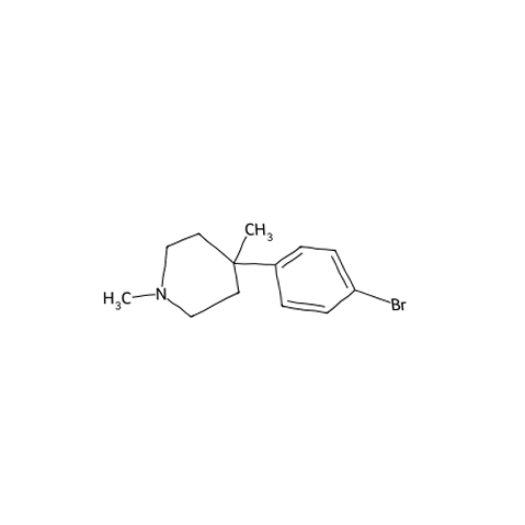 CN1CCC(C)(c2ccc(Br)cc2)CC1